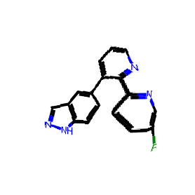 Fc1ccc(-c2ncccc2-c2ccc3[nH]ncc3c2)nc1